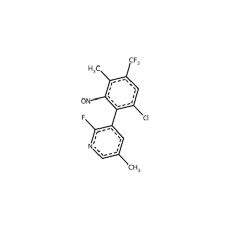 Cc1cnc(F)c(-c2c(Cl)cc(C(F)(F)F)c(C)c2N=O)c1